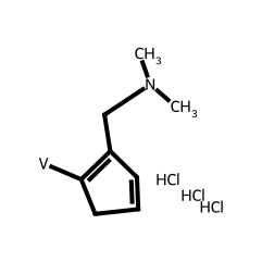 CN(C)CC1=[C]([V])CC=C1.Cl.Cl.Cl